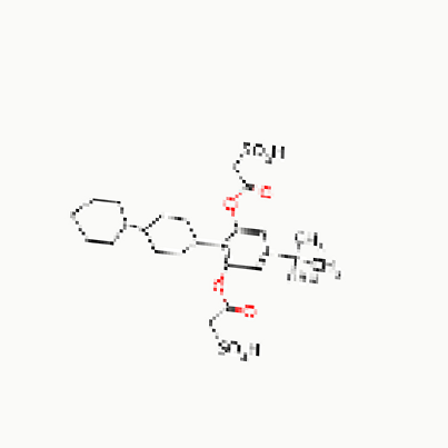 CCCCC(C)(C)c1cc(OC(=O)CS(=O)(=O)O)c(C2CCC(C3CCCCC3)CC2)c(OC(=O)CS(=O)(=O)O)c1